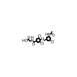 CC(=O)Nc1cc(Cl)cc(COc2c(Cl)cc(C(=O)NCC(=O)O)cc2Cl)c1